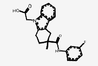 CC1(C(=O)Nc2cccc(F)c2)CCc2c(c3ccccc3n2CC(=O)O)C1